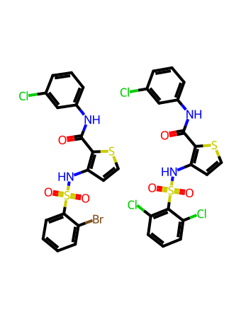 O=C(Nc1cccc(Cl)c1)c1sccc1NS(=O)(=O)c1c(Cl)cccc1Cl.O=C(Nc1cccc(Cl)c1)c1sccc1NS(=O)(=O)c1ccccc1Br